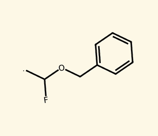 [CH2]C(F)OCc1ccccc1